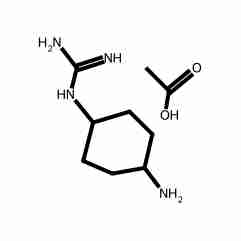 CC(=O)O.N=C(N)NC1CCC(N)CC1